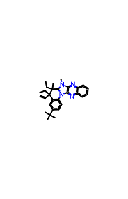 C=CC1(CC)c2cc(C(C)(C)C)ccc2N2c3nc4ccccc4nc3N(C)C2C1(C)CC